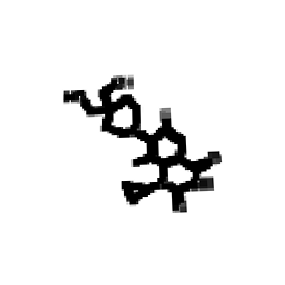 Cc1c(N2CCC(CO)(CO)CC2)c(F)cc2c(=O)[nH]c(=O)n(C3CC3)c12